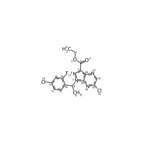 CCOC(=O)c1nn(C(C)c2ccc(Cl)cc2F)c2nc(Cl)cnc12